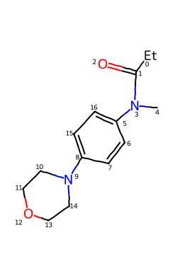 CCC(=O)N(C)c1ccc(N2CCOCC2)cc1